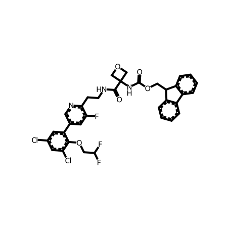 O=C(NC1(C(=O)NCCc2ncc(-c3cc(Cl)cc(Cl)c3OCC(F)F)cc2F)COC1)OCC1c2ccccc2-c2ccccc21